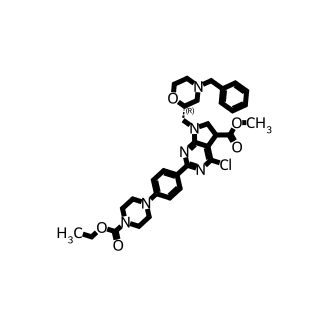 CCOC(=O)N1CCN(c2ccc(-c3nc(Cl)c4c(n3)N(C[C@H]3CN(Cc5ccccc5)CCO3)CC4C(=O)OC)cc2)CC1